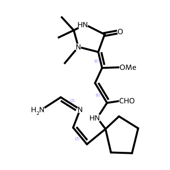 COC(/C=C(\C=O)NC1(/C=C\N=C/N)CCCC1)=C1\C(=O)NC(C)(C)N1C